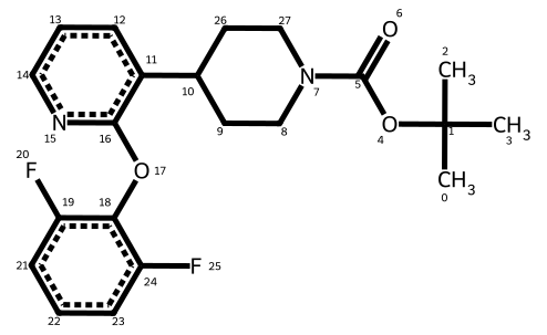 CC(C)(C)OC(=O)N1CCC(c2cccnc2Oc2c(F)cccc2F)CC1